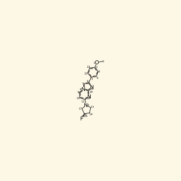 COc1ccc(-c2cn3ccc(N4CC[C@@H](F)C4)nc3n2)cc1